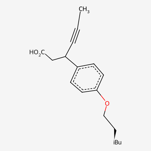 CC#CC(CC(=O)O)c1ccc(OCC[C@H](C)CC)cc1